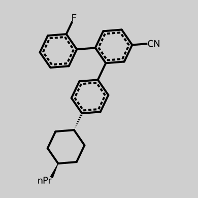 CCC[C@H]1CC[C@H](c2ccc(-c3cc(C#N)ccc3-c3ccccc3F)cc2)CC1